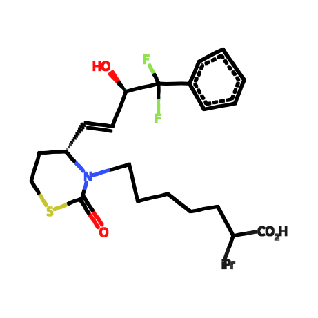 CC(C)C(CCCCCN1C(=O)SCC[C@@H]1/C=C/[C@@H](O)C(F)(F)c1ccccc1)C(=O)O